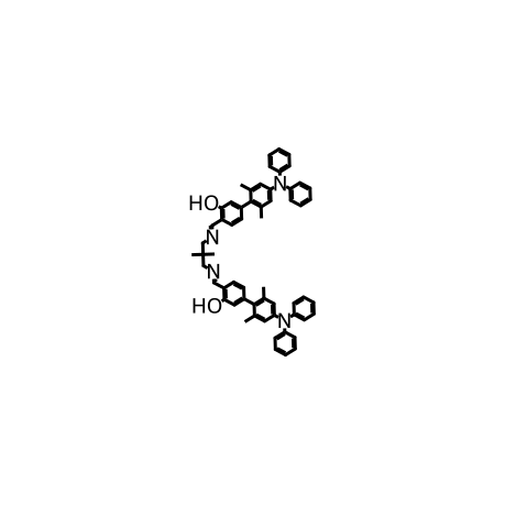 Cc1cc(N(c2ccccc2)c2ccccc2)cc(C)c1-c1ccc(/C=N/CC(C)(C)C/N=C/c2ccc(-c3c(C)cc(N(c4ccccc4)c4ccccc4)cc3C)cc2O)c(O)c1